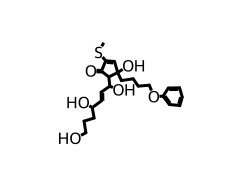 CSC1=CC(O)(CCCCOc2ccccc2)C(C(O)C=CC(O)CCCO)C1=O